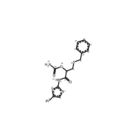 CC(C)c1cnc(NC(=O)C(CSCc2ccccc2)OC(N)=O)s1